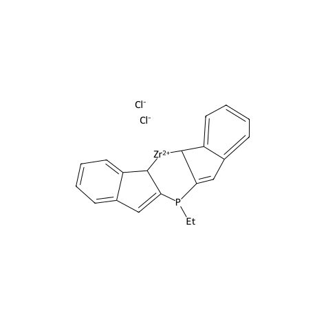 CCP1C2=Cc3ccccc3[CH]2[Zr+2][CH]2C1=Cc1ccccc12.[Cl-].[Cl-]